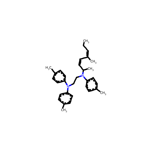 CC/C=C(C)\C=C/C(C)N(CCN(c1ccc(C)cc1)c1ccc(C)cc1)c1ccc(C)cc1